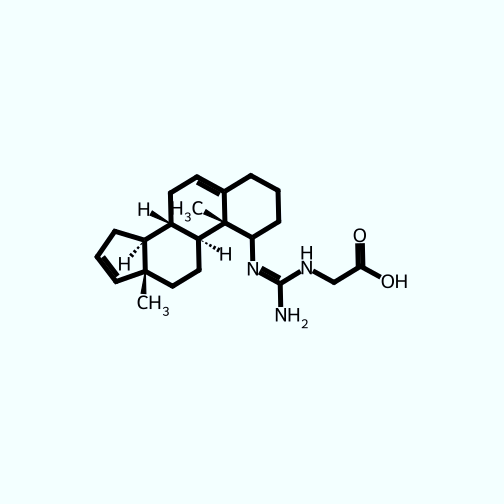 C[C@@]12C=CC[C@H]1[C@@H]1CC=C3CCCC(N=C(N)NCC(=O)O)[C@]3(C)[C@H]1CC2